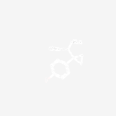 CCCCCCC(CCCCCC)C1(c2ccc(F)cc2)CC1